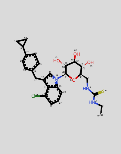 CC(=O)CNC(=S)NC[C@H]1O[C@@H](n2cc(Cc3ccc(C4CC4)cc3)c3c(Cl)cccc32)[C@H](O)[C@@H](O)[C@@H]1O